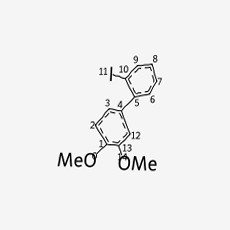 COc1ccc(-c2ccccc2I)cc1OC